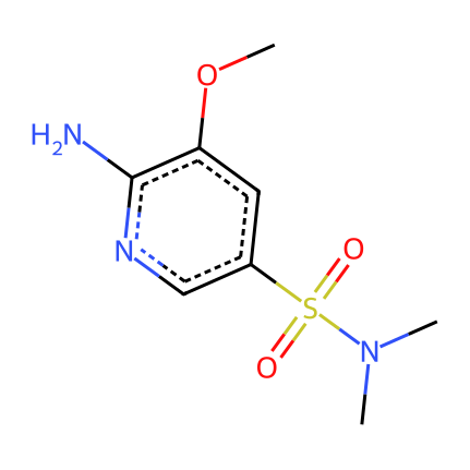 COc1cc(S(=O)(=O)N(C)C)cnc1N